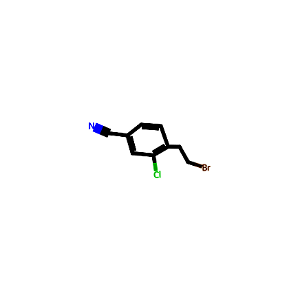 N#Cc1ccc(CCBr)c(Cl)c1